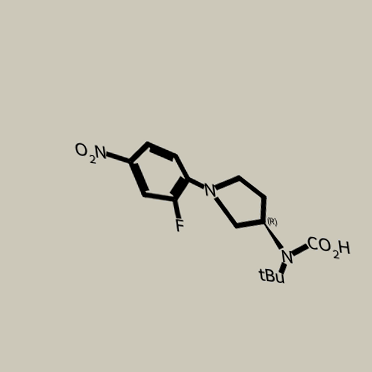 CC(C)(C)N(C(=O)O)[C@@H]1CCN(c2ccc([N+](=O)[O-])cc2F)C1